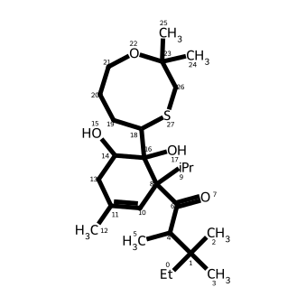 CCC(C)(C)C(C)C(=O)C1(C(C)C)C=C(C)CC(O)C1(O)C1CCCOC(C)(C)CS1